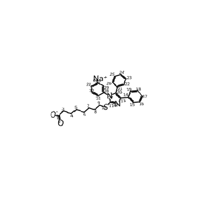 O=C([O-])CCCCCCCSc1nc(-c2ccccc2)c(-c2ccccc2)n1-c1ccccc1.[Na+]